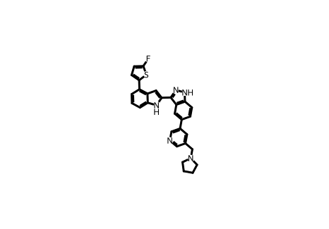 Fc1ccc(-c2cccc3[nH]c(-c4n[nH]c5ccc(-c6cncc(CN7CCCC7)c6)cc45)cc23)s1